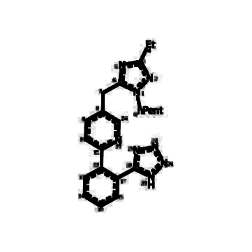 CCCCCn1nc(CC)nc1Cc1ccc(-c2ccccc2-c2nnn[nH]2)nc1